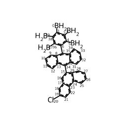 Bc1c(B)c(B)c(-c2c3ccccc3c(-c3cc4cc(Cl)ccc4c4ccccc34)c3ccccc23)c(B)c1B